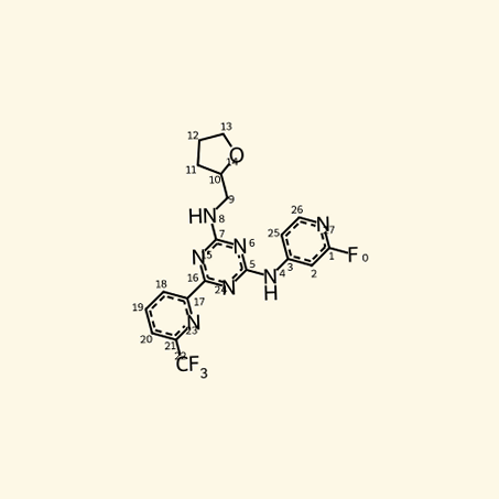 Fc1cc(Nc2nc(NCC3CCCO3)nc(-c3cccc(C(F)(F)F)n3)n2)ccn1